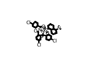 CN(C)c1cccc2c(S(=O)(=O)N(C(=O)c3ccc(Cl)cc3)N(C(=O)c3ccc(Cl)cc3)C(=O)c3ccc(Cl)cc3)cccc12